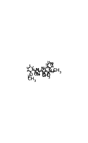 CCOc1ccccc1-c1nc(-c2ncc(C(=O)N(CC)c3cccnc3)n2C)no1